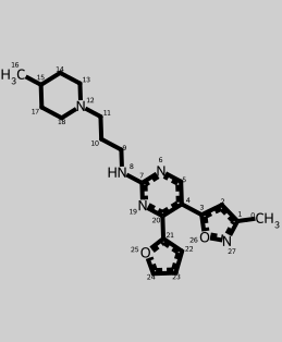 Cc1cc(-c2cnc(NCCCN3CCC(C)CC3)nc2-c2ccco2)on1